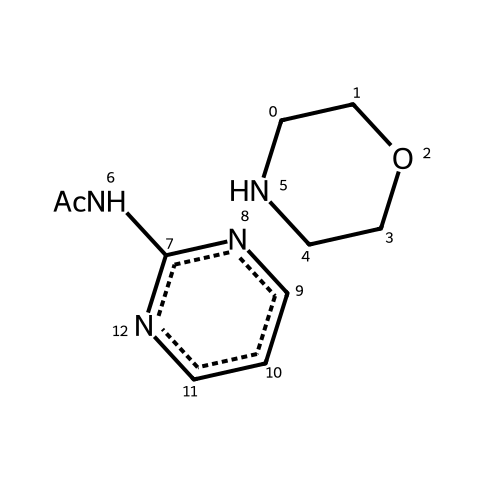 C1COCCN1.CC(=O)Nc1ncccn1